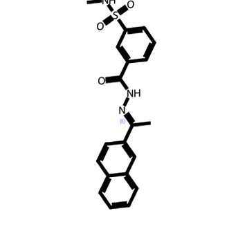 CNS(=O)(=O)c1cccc(C(=O)N/N=C(\C)c2ccc3ccccc3c2)c1